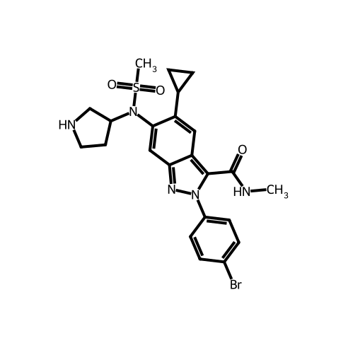 CNC(=O)c1c2cc(C3CC3)c(N(C3CCNC3)S(C)(=O)=O)cc2nn1-c1ccc(Br)cc1